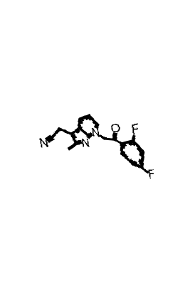 Cc1nc2n(CC(=O)c3ccc(F)cc3F)cccc-2c1CC#N